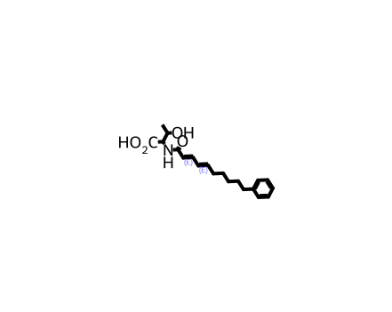 CC(O)C(NC(=O)/C=C/C=C/CCCCCc1ccccc1)C(=O)O